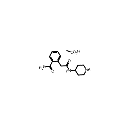 CC(=O)O.NC(=O)c1ccccc1CC(=O)NC1CCNCC1